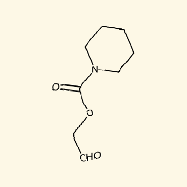 O=CCOC(=O)N1CCCCC1